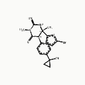 CN1C(=N)N[C@](C)(c2ccc(Br)s2)[C@@H](c2ccc(C3(C#N)CC3)cc2)C1=O